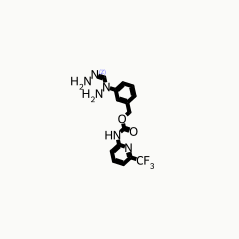 N/N=C\N(N)c1cccc(COC(=O)Nc2cccc(C(F)(F)F)n2)c1